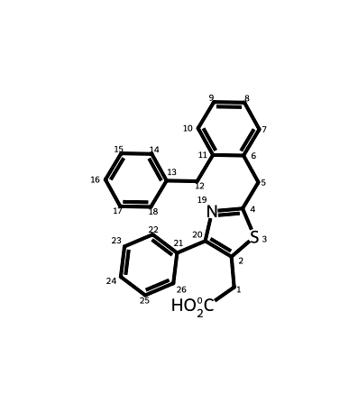 O=C(O)Cc1sc(Cc2ccccc2Cc2ccccc2)nc1-c1ccccc1